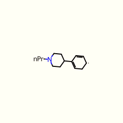 CCCN1CCC(C2=CC[CH]C=C2)CC1